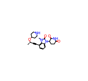 C[C@H](C#Cc1cccc2c1n(C)c(=O)n2C1CCC(=O)NC1=O)OC1CCNCC1